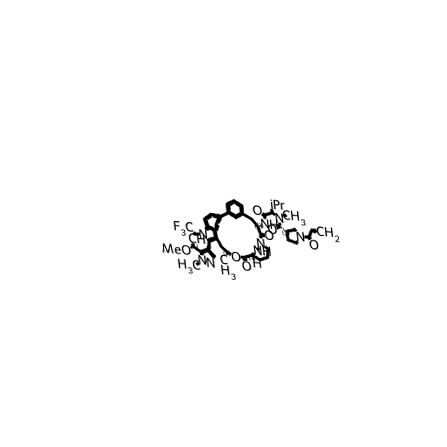 C=CC(=O)N1CC[C@H](C(=O)N(C)C(C(=O)N[C@H]2Cc3cccc(c3)-c3ccc4c(c3)c(c(-c3cnn(C)c3[C@H](C)OC)n4CC(F)(F)F)C[C@H](C)OC(=O)[C@@H]3CCCN(N3)C2=O)C(C)C)C1